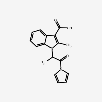 Cc1c(C(=O)O)c2ccccc2n1C(C)C(=O)n1cccc1